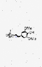 COc1cc(/C=C/O[PH](=O)F)cc(OC)c1O